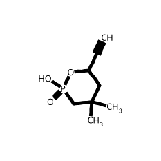 C#CC1CC(C)(C)CP(=O)(O)O1